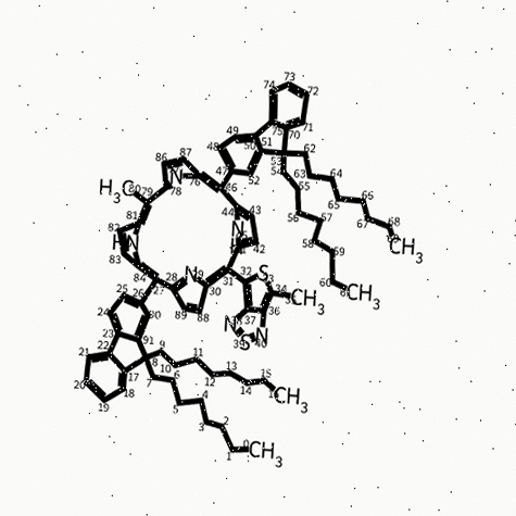 CCCCCCCCC1(CCCCCCCC)c2ccccc2-c2ccc(-c3c4nc(c(-c5sc(C)c6c5N=S=N6)c5ccc([nH]5)c(-c5ccc6c(c5)C(CCCCCCCC)(CCCCCCCC)c5ccccc5-6)c5nc(c(C)c6ccc3[nH]6)C=C5)C=C4)cc21